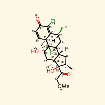 COCC(=O)[C@@]1(O)[C@H](C)C[C@H]2[C@@H]3C[C@H](F)C4=C(Cl)C(=O)C=C[C@]4(C)[C@@]3(F)[C@@H](O)C[C@@]21C